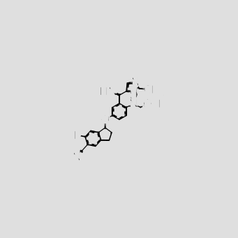 Cc1ncc(C(=N)c2cc(OC3CCc4cc(C#N)c(F)cc43)ccc2NCO)o1